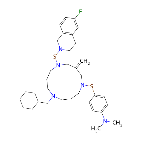 C=C1CN(Sc2ccc(N(C)C)cc2)CCCN(CC2CCCCC2)CCCN(SN2CCc3cc(F)ccc3C2)C1